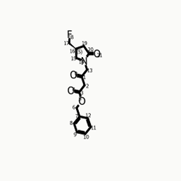 O=C(CC(=O)OCc1ccccc1)CN1C[C@@H](CF)CC1=O